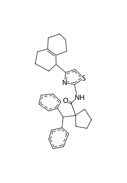 O=C(Nc1nc(C2CCCC3=C2CCCC3)cs1)C1(C(c2ccccc2)c2ccccc2)CCCC1